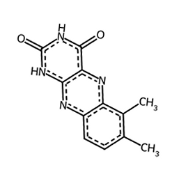 Cc1ccc2nc3[nH]c(=O)[nH]c(=O)c3nc2c1C